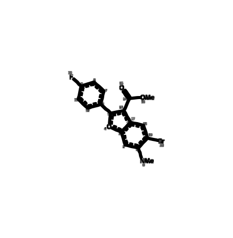 CNc1cc2oc(-c3ccc(F)cc3)c(C(=O)OC)c2cc1Br